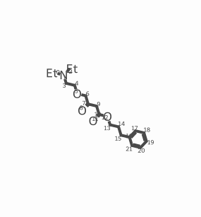 CCN(CC)CCOCC(=O)CC(=O)OCCCc1ccccc1